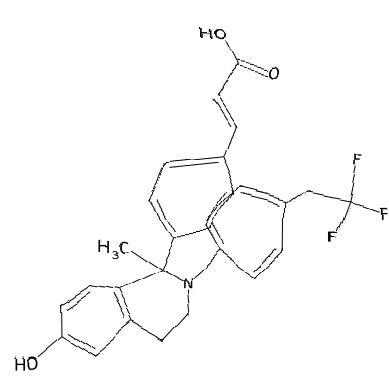 CC1(c2ccc(/C=C/C(=O)O)cc2)c2ccc(O)cc2CCN1c1ccc(CC(F)(F)F)cc1